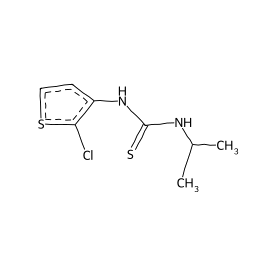 CC(C)NC(=S)Nc1ccsc1Cl